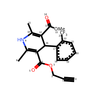 C#CCOC(=O)C1=C(C)NC(C)=C(C(=O)OC)C1c1ccccc1C(F)(F)F